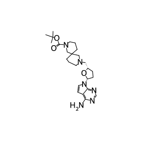 CC(C)(C)OC(=O)N1CCCC2(CCCN(C[C@@H]3CC[C@H](n4ccc5c(N)ncnc54)O3)C2)C1